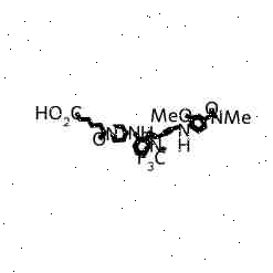 CNC(=O)c1ccc(NCC#Cc2cc3c(NC4CCN(C(=O)CCCCC(=O)O)CC4)cccc3n2CC(F)(F)F)c(OC)c1